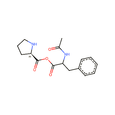 CC(=O)NC(Cc1[c]cccc1)C(=O)OC(=O)[C@H]1CCCN1